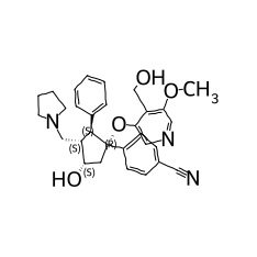 COc1cncc(O[C@]2(c3ccc(C#N)cc3)C[C@H](O)[C@H](CN3CCCC3)[C@H]2c2ccccc2)c1CO